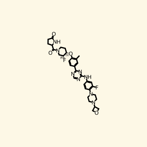 Cc1cc(-c2ncnc(Nc3ccc(N4CCN(C5COC5)CC4)c(F)c3)n2)ccc1O[C@H]1CCN(C(=O)C2CCC(=O)N2)C[C@H]1F